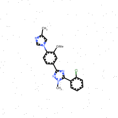 COc1cc(-c2nc(-c3ccccc3Cl)n(C)n2)ccc1-n1cnc(C)c1